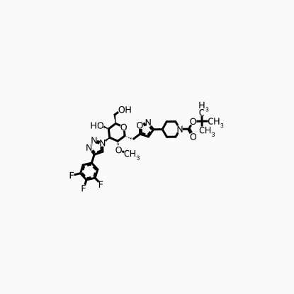 CO[C@@H]1[C@@H](n2cc(-c3cc(F)c(F)c(F)c3)nn2)[C@@H](O)[C@@H](CO)O[C@@H]1Cc1cc(C2CCN(C(=O)OC(C)(C)C)CC2)no1